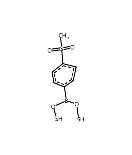 CS(=O)(=O)c1ccc(B(OS)OS)cc1